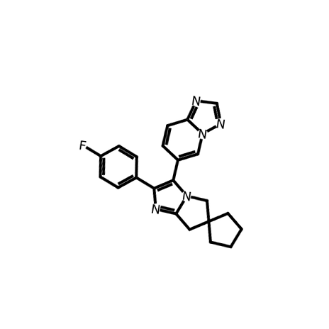 Fc1ccc(-c2nc3n(c2-c2ccc4ncnn4c2)CC2(CCCC2)C3)cc1